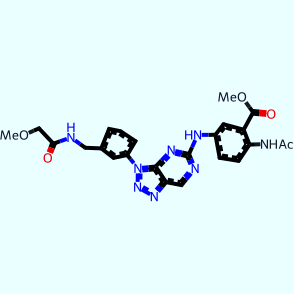 COCC(=O)NCc1cccc(-n2nnc3cnc(Nc4ccc(NC(C)=O)c(C(=O)OC)c4)nc32)c1